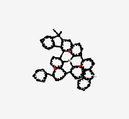 CC1(C)c2ccccc2-c2c(-c3ccccc3N(c3ccccc3-c3ccc(-c4ccccc4)cc3)c3ccccc3-c3ccc4oc5ccccc5c4c3)cccc21